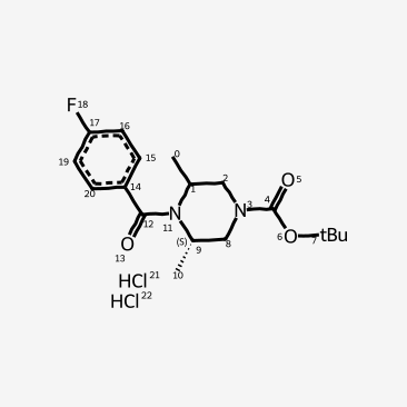 CC1CN(C(=O)OC(C)(C)C)C[C@H](C)N1C(=O)c1ccc(F)cc1.Cl.Cl